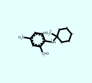 O=Cc1cc([N+](=O)[O-])ccc1NC1(C(=O)O)CCCCC1